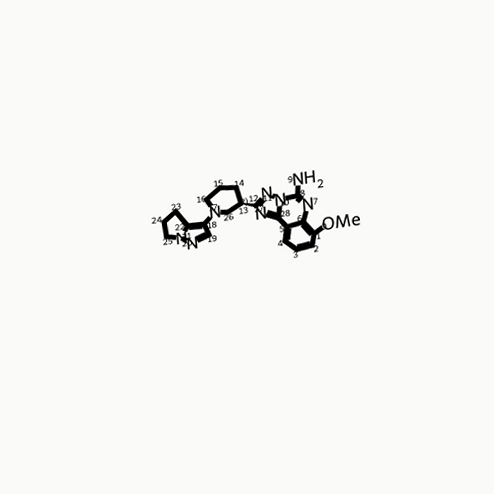 COc1cccc2c1nc(N)n1nc([C@@H]3CCCN(c4cnn5c4CCC5)C3)nc21